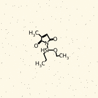 CCC[SiH](OCC)N1C(=O)C=C(C)C1=O